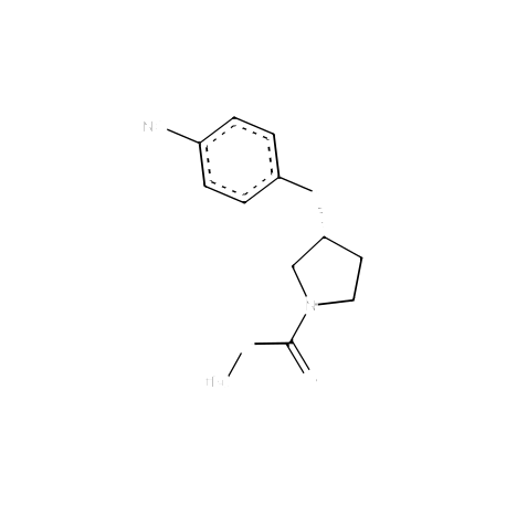 CC(C)(C)OC(=O)N1CC[C@@H](Sc2ccc(C#N)cc2)C1